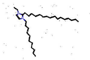 CCCCCCCCCCCCCCCCC1N(CC)C=CN1CCCCCCCCCCC